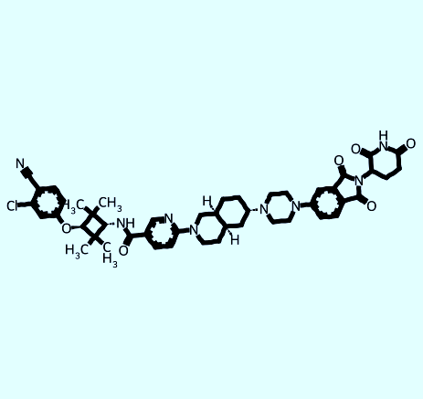 CC1(C)[C@H](NC(=O)c2ccc(N3CC[C@@H]4C[C@@H](N5CCN(c6ccc7c(c6)C(=O)N(C6CCC(=O)NC6=O)C7=O)CC5)CC[C@@H]4C3)nc2)C(C)(C)[C@H]1Oc1ccc(C#N)c(Cl)c1